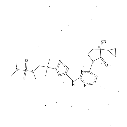 CN(C)S(=O)(=O)N(C)CC(C)(C)n1cc(Nc2nccc(N3CC[C@@](C#N)(C4CC4)C3=O)n2)cn1